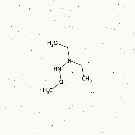 CCN(CC)NOC